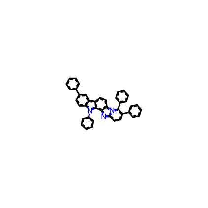 c1ccc(-c2ccc3c(c2)c2ccc4c(nc5ccc(-c6ccccc6)c(-c6ccccc6)n54)c2n3-c2ccccc2)cc1